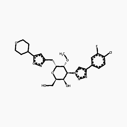 CO[C@@H]1[C@@H](n2cc(-c3ccc(Cl)c(F)c3)nn2)[C@@H](O)[C@@H](CO)O[C@@H]1Cc1cc(C2CCOCC2)on1